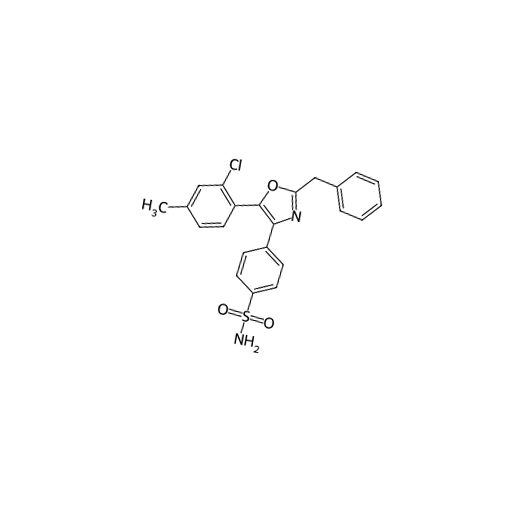 Cc1ccc(-c2oc(Cc3ccccc3)nc2-c2ccc(S(N)(=O)=O)cc2)c(Cl)c1